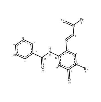 CCC(=O)/C=C/c1cn(CC)c(=O)nc1NC(=O)c1ccccc1